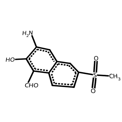 CS(=O)(=O)c1ccc2c(C=O)c(O)c(N)cc2c1